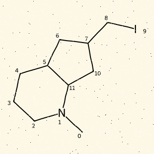 CN1CCCC2CC(CI)CC21